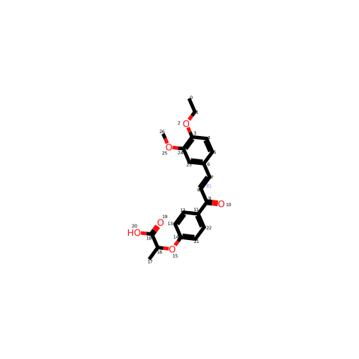 CCOc1ccc(/C=C/C(=O)c2ccc(OC(C)C(=O)O)cc2)cc1OC